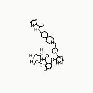 CC(C)N(C(=O)c1cc(F)ccc1Oc1nncnc1N1CC[C@@H](CN2CCC3(CCC(NC(=O)c4nccs4)CC3)CC2)C1)C(C)C